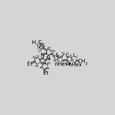 CCCCCC[Si]1(CCCCCC)c2cc(C)ccc2-c2ccc(-c3ccc(-c4ccc(-c5ccc(C)s5)c5nc(-c6ccc(CC)cc6)c(-c6ccc(CC)cc6)nc45)s3)cc21